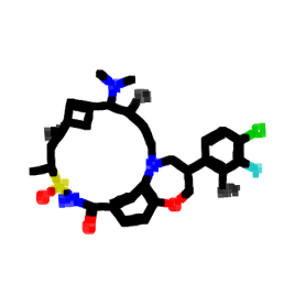 CCCc1c(C2COc3ccc4cc3N(CCC(CC)C(N(C)C)C3=C[C@@H](C3)CC(C)[S+]([O-])NC4=O)C2)ccc(Cl)c1F